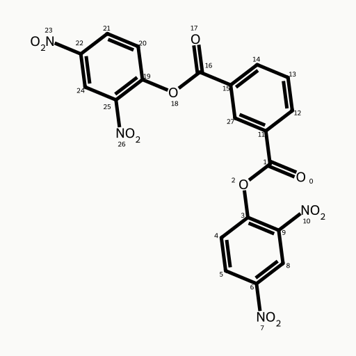 O=C(Oc1ccc([N+](=O)[O-])cc1[N+](=O)[O-])c1cccc(C(=O)Oc2ccc([N+](=O)[O-])cc2[N+](=O)[O-])c1